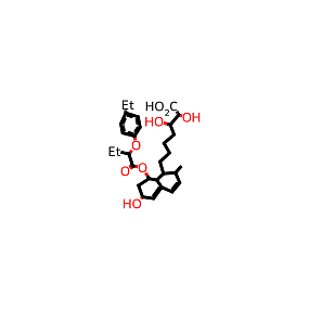 CCc1ccc(OC(CC)C(=O)OC2CC(O)C=C3C=CC(C)C(CCCCC(O)C(O)C(=O)O)C32)cc1